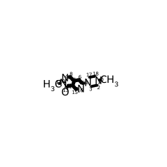 CN1CCN(c2cc3cnn(C)c(=O)c3cn2)CC1